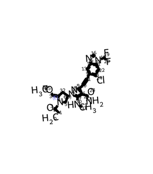 C=CC(=O)N1C[C@@H](n2nc(C#Cc3cc4ncn(C(F)F)c4cc3Cl)c(C(N)=O)c2NC)C/C1=C\OC